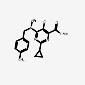 CCCN(Cc1ccc(C)cc1)c1nc(C2CC2)nc(C(=O)OC)c1Cl